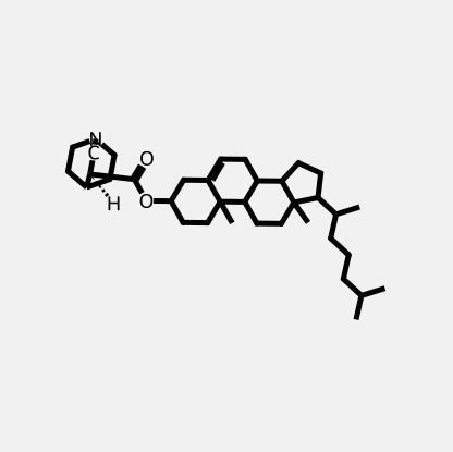 CC(C)CCCC(C)C1CCC2C3CC=C4CC(OC(=O)[C@@H]5CN6CCC5CC6)CCC4(C)C3CCC12C